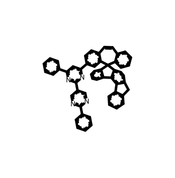 C1=Cc2ccc(-c3cc(-c4ccccc4)nc(-c4cnc(-c5ccccc5)nc4)n3)cc2C2(c3ccccc31)c1ccccc1-c1c2ccc2c1-c1ccccc1C2